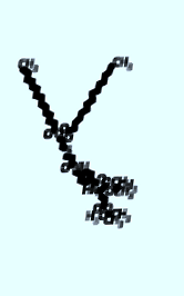 CCCCCCCCCCCCCCCC(=O)OCC(CSCCC(=O)NCc1ccc(C(=O)N[C@@H](CCC(=O)OC(C)(C)C)C(=O)OC(C)(C)C)cc1)OC(=O)CCCCCCCCCCCCCCC